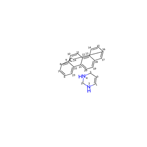 C1=CNCNC1.c1cc2c3ccc4c5ccc(cc5ccc4c3c1)C2